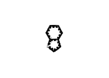 [c]1[c]c2ccccc2s1